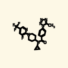 Cc1nnnn1-c1ccc(C(=O)N(C2CC2)C2CCN(c3ncc(C(F)(F)F)cc3F)CC2)cc1